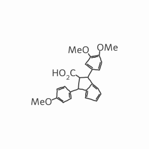 COc1ccc(C2c3ccccc3C(c3ccc(OC)c(OC)c3)C2C(=O)O)cc1